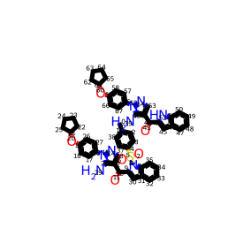 Cc1ccc(S(=O)(=O)n2c(C(=O)c3cnn(-c4ccc(OC5CCCC5)cc4)c3N)cc3ccccc32)cc1.Nc1c(C(=O)c2cc3ccccc3[nH]2)cnn1-c1ccc(OC2CCCC2)cc1